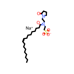 CCCCCCCC/C=C\CCCCCCCC(=O)N(CCN1CCCC1=O)CCS(=O)(=O)[O-].[Na+]